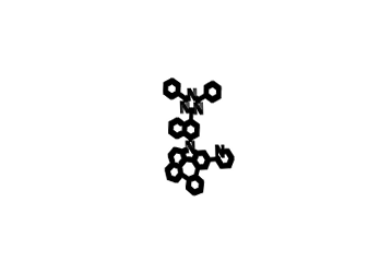 c1ccc(-c2nc(-c3ccccc3)nc(-c3ccc(-n4c5cc(-c6ccccn6)cc6c5c5c7c(cccc7ccc54)-c4ccccc4-6)c4ccccc34)n2)cc1